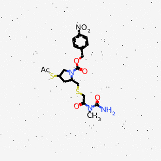 CC(=O)SC1CC(CSCC(=O)N(C)C(N)=O)N(C(=O)OCc2ccc([N+](=O)[O-])cc2)C1